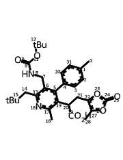 Cc1ccc(-c2c(CNC(=O)OC(C)(C)C)c(CC(C)(C)C)nc(C)c2C(Cc2oc(=O)oc2C)C(=O)O)cc1